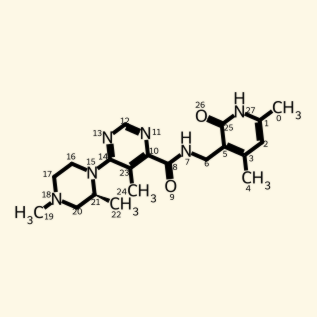 Cc1cc(C)c(CNC(=O)c2ncnc(N3CCN(C)C[C@@H]3C)c2C)c(=O)[nH]1